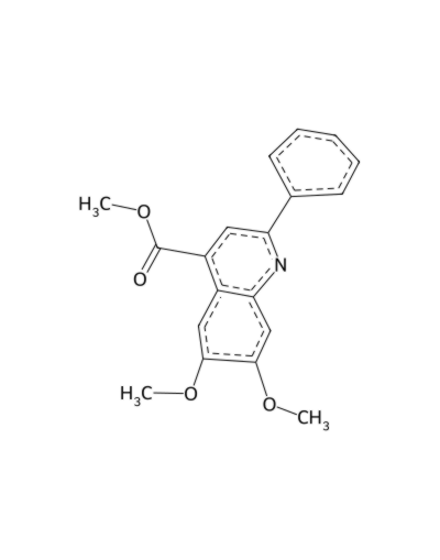 COC(=O)c1cc(-c2ccccc2)nc2cc(OC)c(OC)cc12